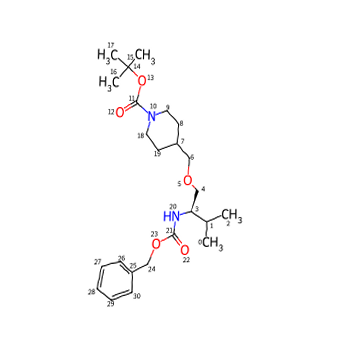 CC(C)[C@H](COCC1CCN(C(=O)OC(C)(C)C)CC1)NC(=O)OCc1ccccc1